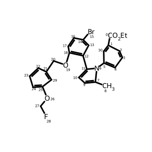 CCOC(=O)c1cccc(-n2c(C)ccc2-c2cc(Br)ccc2OCc2cccc(OCF)c2)c1